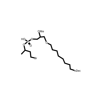 CCCCCCCCCCCCCCCCCCOCC(COP(=O)(O)OC(C)CCBr)OC